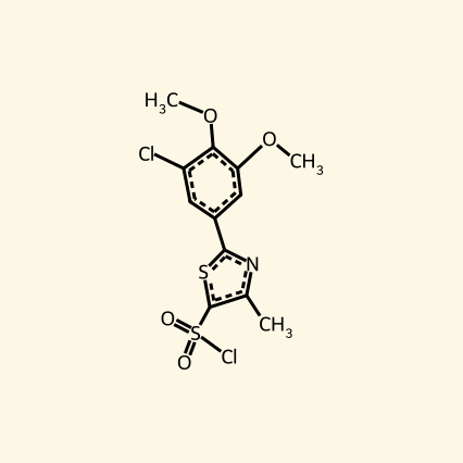 COc1cc(-c2nc(C)c(S(=O)(=O)Cl)s2)cc(Cl)c1OC